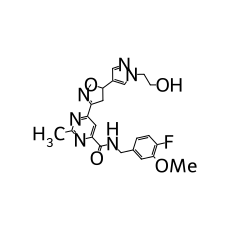 COc1cc(CNC(=O)c2cc(C3=NOC(c4cnn(CCO)c4)C3)nc(C)n2)ccc1F